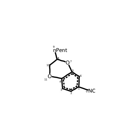 [C-]#[N+]c1ccc2c(c1)OC(CCCCC)CO2